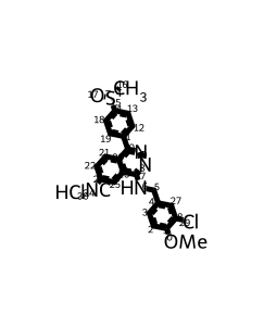 COc1ccc(CNc2nnc(-c3ccc([S+](C)[O-])cc3)c3ccc(C#N)cc23)cc1Cl.Cl